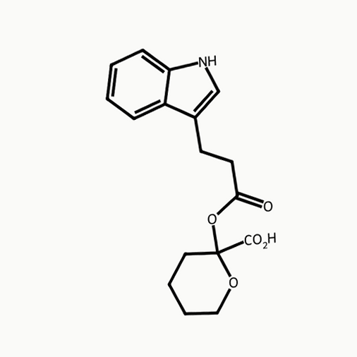 O=C(CCc1c[nH]c2ccccc12)OC1(C(=O)O)CCCCO1